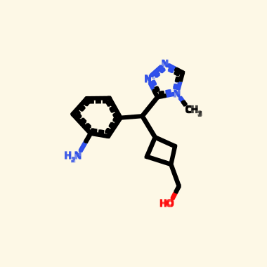 Cn1cnnc1C(c1cccc(N)c1)C1CC(CO)C1